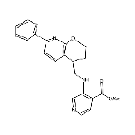 COC(=O)c1ccncc1NCC1CCOc2nc(-c3ccccc3)ccc21